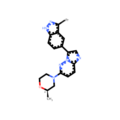 CC(C)c1n[nH]c2ccc(-c3cnc4ccc(N5CCO[C@H](C)C5)nn34)cc12